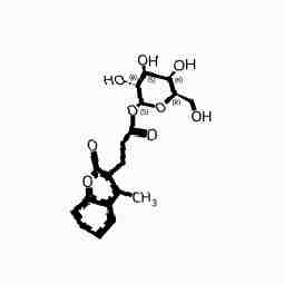 Cc1c(CCC(=O)O[C@@H]2O[C@H](CO)[C@H](O)[C@H](O)[C@H]2O)c(=O)oc2ccccc12